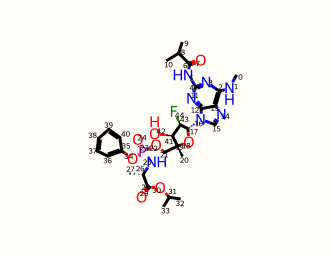 CNc1nc(NC(=O)C(C)C)nc2c1ncn2[C@@H]1O[C@](C)(CO[P@@](=O)(N[C@@H](C)C(=O)OC(C)C)Oc2ccccc2)[C@@H](O)[C@H]1F